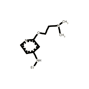 CCNc1ccnc(OCCN(C)C)c1